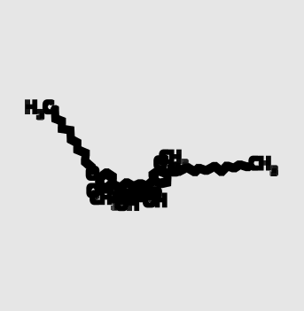 CCCCCCCCCCCCOc1ccc(C(CC(=O)CC(c2ccc(OCCCCCCCCCCCC)c(OC)c2)S(=O)(=O)O)S(=O)(=O)O)cc1OC